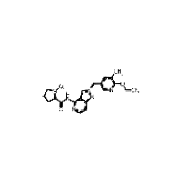 CC(=O)N1CCCC1C(=O)Nc1nccc2nn(Cc3cnc(OCC(F)(F)F)c(C)c3)cc12